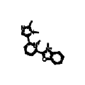 Cc1ncc(-c2cccc(-c3oc4ccccc4[n+]3C)[n+]2C)n1C